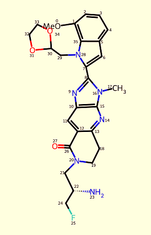 COc1cccc2cc(-c3nc4cc5c(nc4n3C)CCN(C[C@H](N)CF)C5=O)n(CC3OCCO3)c12